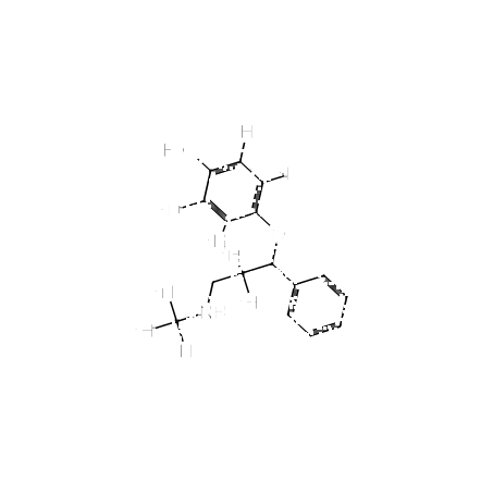 [2H]c1c([2H])c(C(F)(F)F)c([2H])c([2H])c1OC(c1ccccc1)C([2H])([2H])CNC([2H])([2H])[2H]